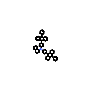 C1=CC(c2c3ccccc3c(-c3ccc(N(c4ccc(-c5c6ccccc6c(-c6ccccc6)c6ccccc56)cc4)c4cccc5ccccc45)cc3)c3ccccc23)=CCC1